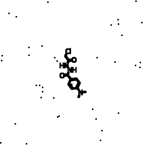 CN(C)c1ccc(C(=O)NNC(=O)CCl)cc1